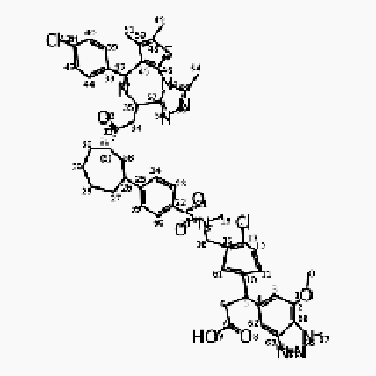 COc1cc(C(CC(=O)O)c2ccc(Cl)c(CN(C)S(=O)(=O)c3ccc(C4CCCC[C@H](C(=O)CC5N=C(c6ccc(Cl)cc6)c6c(sc(C)c6C)-n6c(C)nnc65)C4)cc3)c2)cc2nnn(C)c12